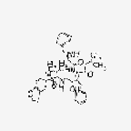 CC(C)CC(=O)N(NC(=O)CNCc1ccccc1)[C@@H](Cc1ccccc1)[C@H](O)CNC(C(C)C)S(=O)(=O)c1ccc2c(c1)CCO2